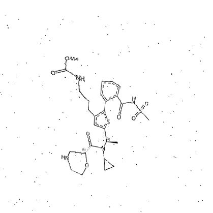 COC(=O)NCCCc1cc([C@@H](C)N(C(=O)[C@H]2CNCCO2)C2CC2)sc1-c1ccccc1C(=O)NS(C)(=O)=O